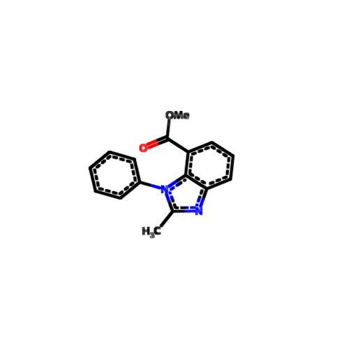 COC(=O)c1cccc2nc(C)n(-c3ccccc3)c12